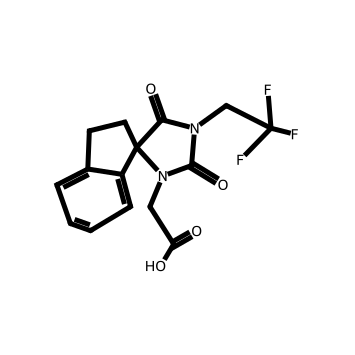 O=C(O)CN1C(=O)N(CC(F)(F)F)C(=O)C12CCc1ccccc12